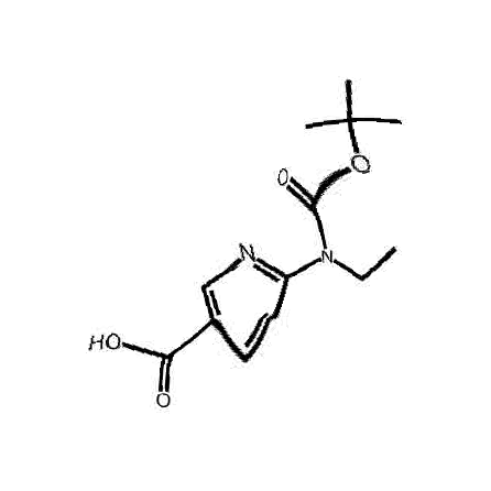 CCN(C(=O)OC(C)(C)C)c1ccc(C(=O)O)cn1